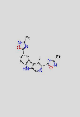 CCc1noc(-c2ccc3[nH]c4cnc(-c5nc(CC)no5)c(C)c4c3c2)n1